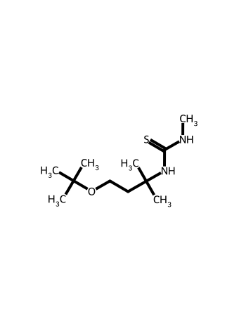 CNC(=S)NC(C)(C)CCOC(C)(C)C